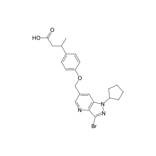 CC(CC(=O)O)c1ccc(OCc2cnc3c(Br)nn(C4CCCC4)c3c2)cc1